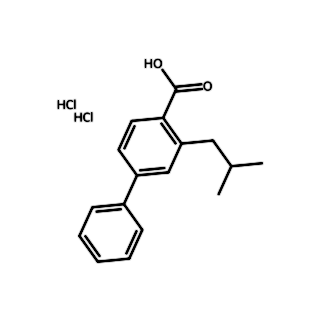 CC(C)Cc1cc(-c2ccccc2)ccc1C(=O)O.Cl.Cl